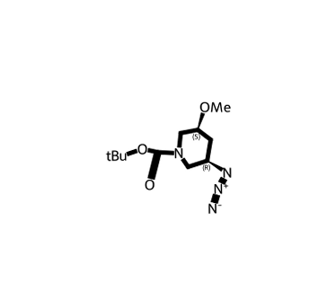 CO[C@H]1C[C@@H](N=[N+]=[N-])CN(C(=O)OC(C)(C)C)C1